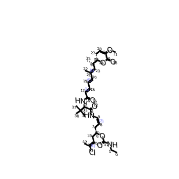 CCNC(=O)O[C@H](C/C=C\NC(=O)[C@@H](NC(=O)/C=C/C=C/C(C)=C/[C@H](C)[C@@H]1CC=C(OC)C(=O)O1)C(C)(C)C)C/C=C(\C)Cl